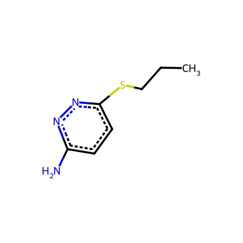 CCCSc1ccc(N)nn1